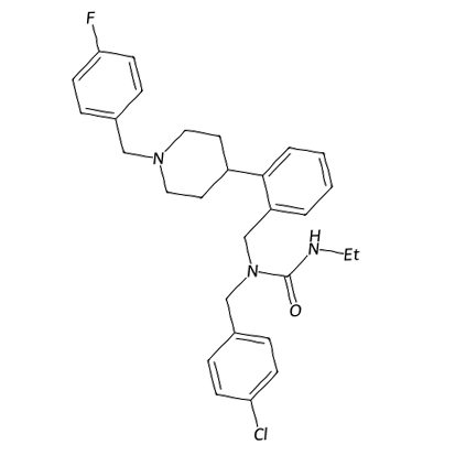 CCNC(=O)N(Cc1ccc(Cl)cc1)Cc1ccccc1C1CCN(Cc2ccc(F)cc2)CC1